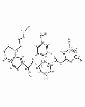 COCCCN1CCOc2ccc(C(F)O[C@H]3CNC[C@@H](OCC(COC)O[N+](=O)[O-])[C@H]3c3ccc(OC)cc3)cc21